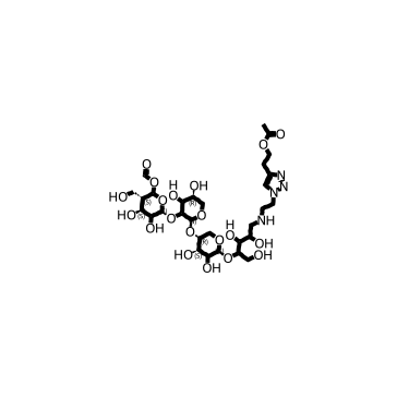 CC(=O)OCCc1cn(CCNCC(O)C(O)C(CO)O[C@@H]2OC[C@@H](O[C@@H]3OC[C@@H](O)C(O)C3O[C@H]3OC(OC=O)[C@@H](CO)[C@H](O)C3O)[C@@H](O)C2O)nn1